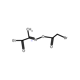 CCC(=O)/C(C)=N/OC(=O)CBr